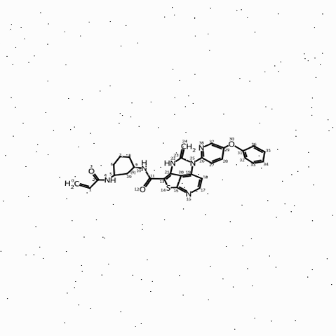 C=CC(=O)NC1CCC[C@@H](NC(=O)c2sc3nccc4c3c2[nH]c(=C)n4-c2ccc(Oc3ccccc3)cn2)C1